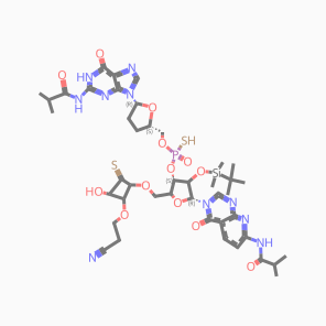 CC(C)C(=O)Nc1ccc2c(=O)n([C@@H]3OC(COC4C(=S)C(O)C4OCCC#N)[C@H](OP(=O)(S)OC[C@@H]4CC[C@H](n5cnc6c(=O)[nH]c(NC(=O)C(C)C)nc65)O4)C3O[Si](C)(C)C(C)(C)C)cnc2n1